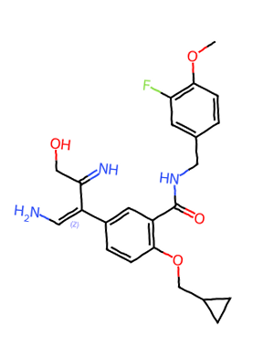 COc1ccc(CNC(=O)c2cc(/C(=C/N)C(=N)CO)ccc2OCC2CC2)cc1F